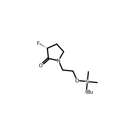 CC(C)(C)[Si](C)(C)OCCN1CC[C@@H](F)C1=O